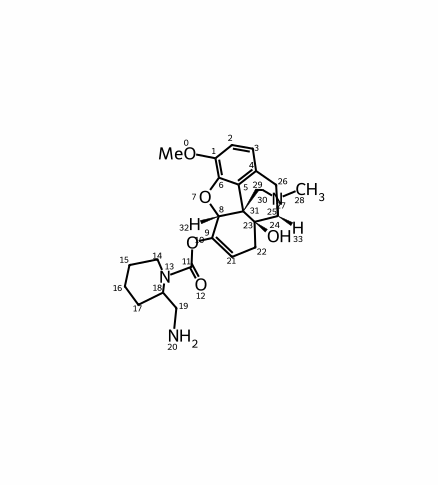 COc1ccc2c3c1O[C@H]1C(OC(=O)N4CCCCC4CN)=CC[C@@]4(O)[C@@H](C2)N(C)CC[C@]314